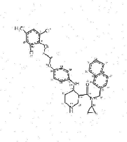 Cc1cc(Cl)c(OCCOc2ccc(NC3CCNCC3C(=O)N(Cc3ccc4ccccc4c3)C3CC3)cc2)c(Cl)c1